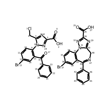 O=C(O)c1nc(CCl)n(-c2ccc(Br)cc2C(=O)c2ccccc2)n1.O=C(O)c1nc2n(n1)-c1ccc(Br)cc1C(c1ccccc1)=NC2